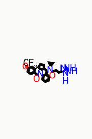 O=C(c1ccc(OC(F)(F)F)cc1)N1c2ccccc2C(N(C(=O)CCC2=NNNN2)C2CC2)C2CCCC21